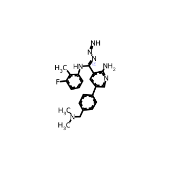 Cc1c(F)cccc1N/C(=N\N=N)c1cc(-c2ccc(CN(C)C)cc2)cnc1N